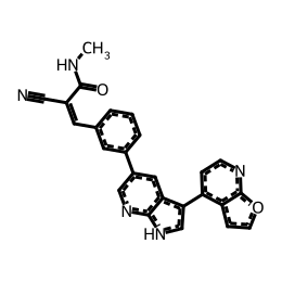 CNC(=O)C(C#N)=Cc1cccc(-c2cnc3[nH]cc(-c4ccnc5occc45)c3c2)c1